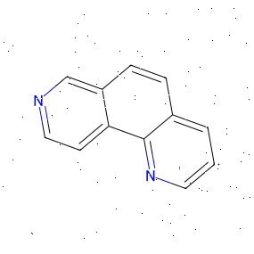 [c]1cnc2c(c1)ccc1cnccc12